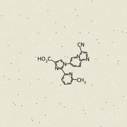 Cc1cccc(-c2nc(C(=O)O)cn2-c2ccc3ncc(C#N)n3c2)n1